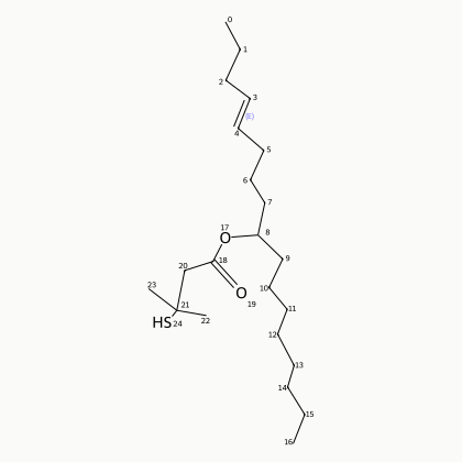 CCC/C=C/CCCC(CCCCCCCC)OC(=O)CC(C)(C)S